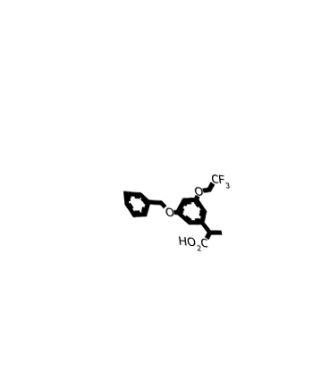 CC(C(=O)O)c1cc(OCc2ccccc2)cc(OCC(F)(F)F)c1